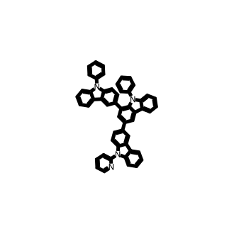 c1ccc(-n2c3ccccc3c3cc(-c4cc(-c5ccc6c(c5)c5ccccc5n6-c5ccccn5)cc5c6ccccc6n(-c6ccccc6)c45)ccc32)cc1